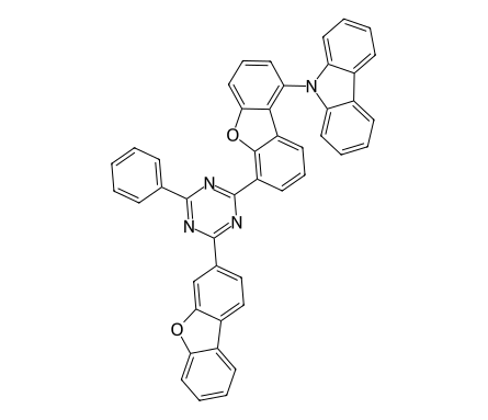 c1ccc(-c2nc(-c3ccc4c(c3)oc3ccccc34)nc(-c3cccc4c3oc3cccc(-n5c6ccccc6c6ccccc65)c34)n2)cc1